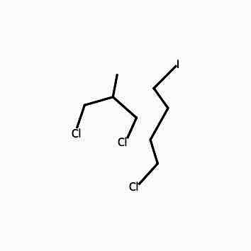 CC(CCl)CCl.ClCCCCI